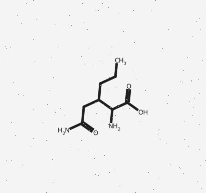 CCCC(CC(N)=O)C(N)C(=O)O